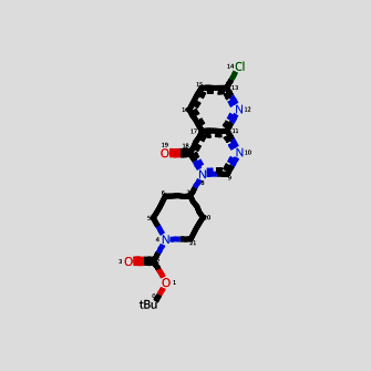 CC(C)(C)OC(=O)N1CCC(n2cnc3nc(Cl)ccc3c2=O)CC1